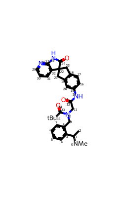 CNC(C)c1ccccc1CN(CC(=O)Nc1ccc2c(c1)CC1(C2)C(=O)Nc2ncccc21)C(=O)C(C)(C)C